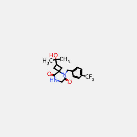 CC(C)(O)C1CC2(C1)C(=O)NCC(=O)N2Cc1ccc(C(F)(F)F)cc1